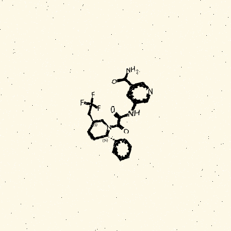 NC(=O)c1cncc(NC(=O)C(=O)N2C[C@H](CC(F)(F)F)CC[C@H]2c2ccccc2)c1